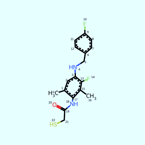 Cc1cc(NCc2ccc(F)cc2)c(F)c(C)c1NC(=O)CS